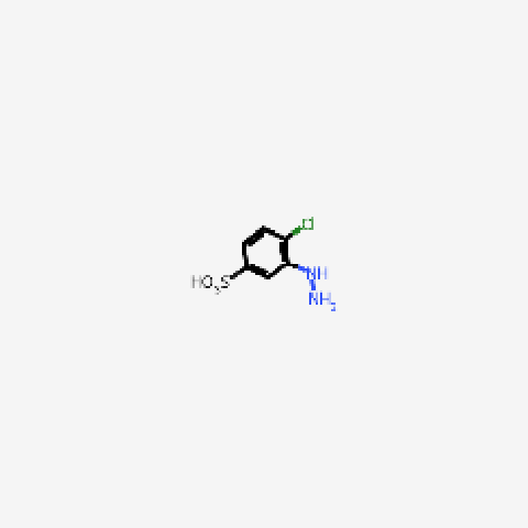 NNc1cc(S(=O)(=O)O)ccc1Cl